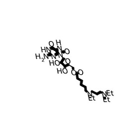 CCN(CC)CCCN(CC)CCCCCC(=O)OC[C@@H]1O[C@H](n2c(=O)[nH]c3c(=O)[nH]c(N)nc32)C(O)C1O